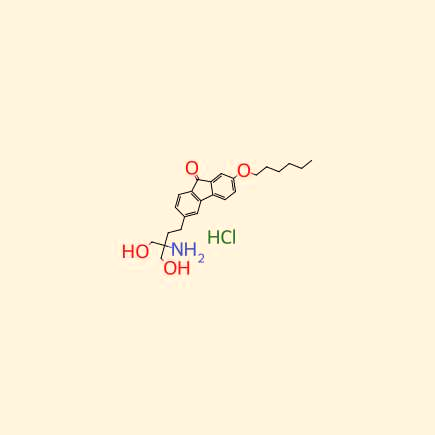 CCCCCCOc1ccc2c(c1)C(=O)c1ccc(CCC(N)(CO)CO)cc1-2.Cl